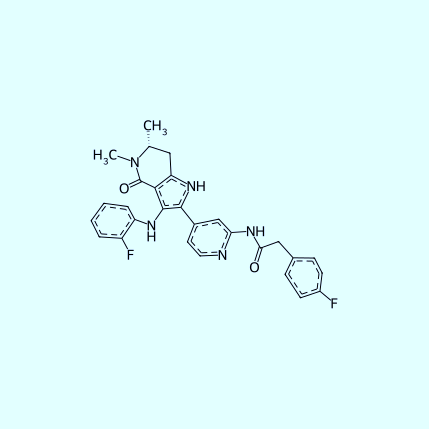 C[C@@H]1Cc2[nH]c(-c3ccnc(NC(=O)Cc4ccc(F)cc4)c3)c(Nc3ccccc3F)c2C(=O)N1C